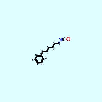 O=C=NCCCCCCc1[c]cccc1